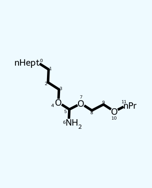 CCCCCCCCCCOC(N)OCCOCCC